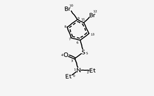 CCN(CC)C(=O)Sc1ccc(Br)c(Br)c1